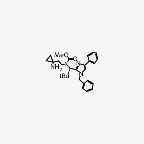 COC(=O)N(CCC1(N)CC1)[C@@H](c1nc(-c2ccccc2)cn1Cc1ccccc1)C(C)(C)C